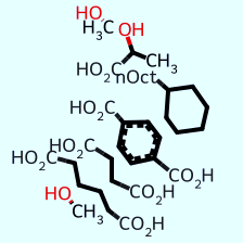 CC(O)C(=O)O.CCCCCCCCC1CCCCC1.CO.CO.O=C(O)CCC(=O)O.O=C(O)CCCCC(=O)O.O=C(O)c1ccc(C(=O)O)cc1